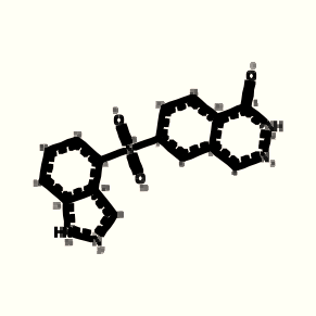 O=c1[nH]ncc2cc(S(=O)(=O)c3cccc4[nH]ncc34)ccc12